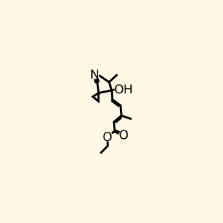 CCOC(=O)C=C(C)C=CC(O)(C(C)C)C1(C#N)CC1